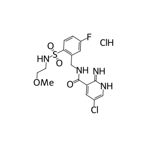 COCCNS(=O)(=O)c1ccc(F)cc1CNC(=O)c1cc(Cl)c[nH]c1=N.Cl